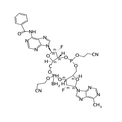 B[PH]1(OCCC#N)OC[C@H]2O[C@@H](n3cnc4c(NC(=O)c5ccccc5)ncnc43)[C@H](F)[C@@H]2OP(OCCC#N)OC[C@H]2O[C@@H](n3cnc4c(C)ncnc43)[C@H](F)[C@@H]2O1